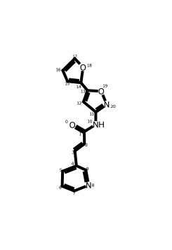 O=C(/C=C/c1cccnc1)Nc1cc(-c2ccco2)on1